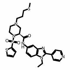 CCn1c(-c2ccncc2)nc2cc(NC(=O)[C@@H]3CN(CCCSC)CCN3S(=O)(=O)c3cccs3)ccc21